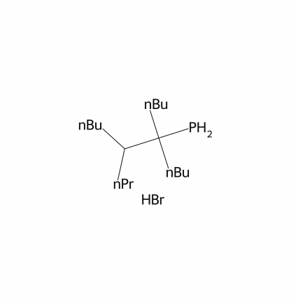 Br.CCCCC(CCC)C(P)(CCCC)CCCC